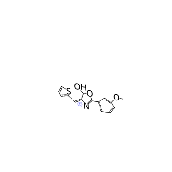 COc1cccc(C2=N/C(=C/c3cccs3)C(O)O2)c1